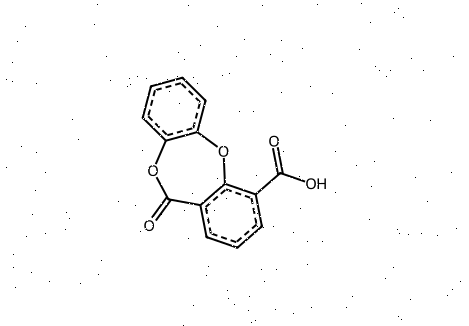 O=C(O)c1cccc2c1Oc1ccccc1OC2=O